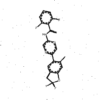 C=C(Nc1cnc(-c2cc3c(cc2C)OC(F)(F)C3)cn1)c1c(F)cccc1F